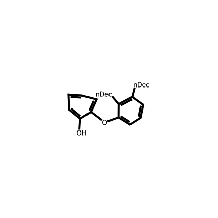 CCCCCCCCCCc1cccc(Oc2ccccc2O)c1CCCCCCCCCC